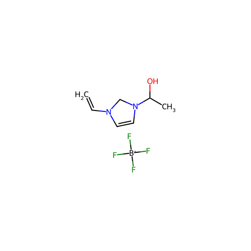 C=CN1C=CN(C(C)O)C1.F[B-](F)(F)F